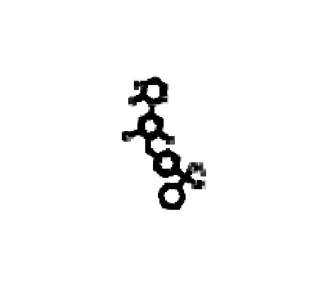 CC(O)(c1ccc(Cc2c(Cl)cc(N3N=CCNC3=O)cc2Cl)cc1)C1CCCCC1